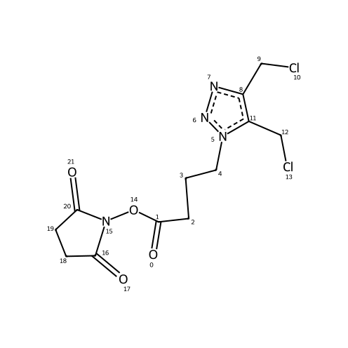 O=C(CCCn1nnc(CCl)c1CCl)ON1C(=O)CCC1=O